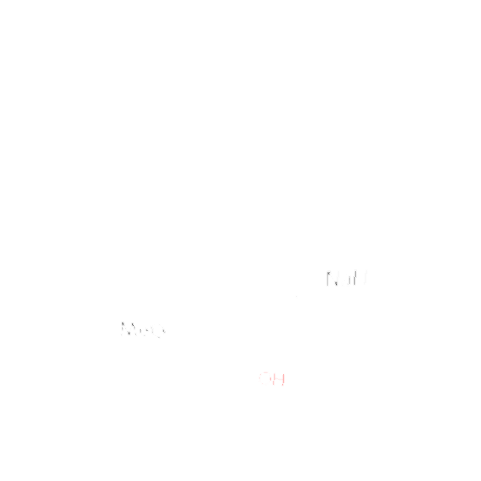 C=CCc1ccc(O)c(OC)c1.[NaH]